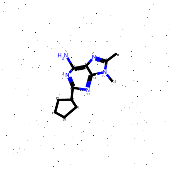 Cc1nc2c(N)nc(C3CCCC3)nc2n1C